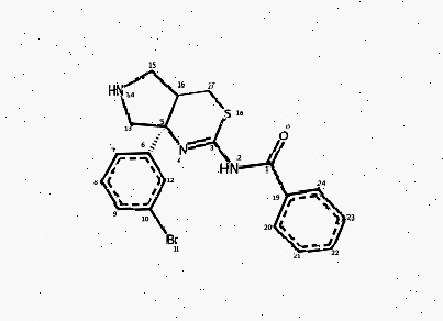 O=C(NC1=N[C@@]2(c3cccc(Br)c3)CNCC2CS1)c1ccccc1